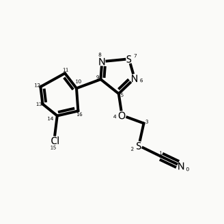 N#CSCOc1nsnc1-c1cccc(Cl)c1